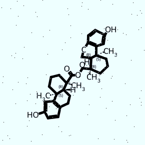 C[C@@]1(C(=O)OC(=O)[C@]2(C)CCC[C@]3(C)c4cc(O)ccc4CC[C@@H]23)CCC[C@]2(C)c3cc(O)ccc3CC[C@@H]12